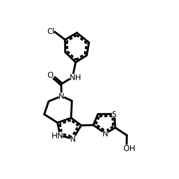 O=C(Nc1cccc(Cl)c1)N1CCc2[nH]nc(-c3csc(CO)n3)c2C1